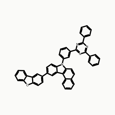 c1ccc(-c2nc(-c3ccccc3)nc(-c3cccc(-n4c5ccc(-c6ccc7oc8ccccc8c7c6)cc5c5c6ccccc6ccc54)c3)n2)cc1